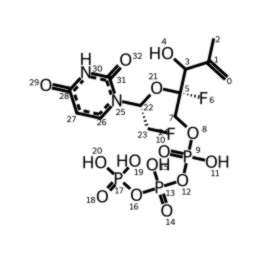 C=C(C)C(O)[C@@](F)(COP(=O)(O)OP(=O)(O)OP(=O)(O)O)O[C@H](CF)n1ccc(=O)[nH]c1=O